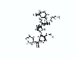 Cc1cnc(NC2CCOCC2)nc1-n1cnc(C(=O)NC(CCO)c2cccc(Cl)c2)c1